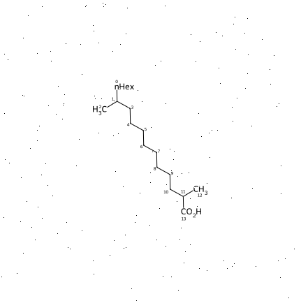 CCCCCCC(C)CCCCCCCCC(C)C(=O)O